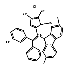 Cc1ccc2c(c1)[CH]([Zr+2]([C]1=CC(C(C)C)=C(C(C)C)C1C(C)C)=[C](c1ccccc1)c1ccccc1)c1cc(C)ccc1-2.[Cl-].[Cl-]